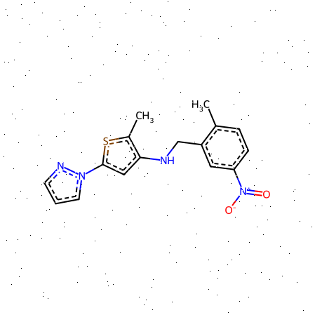 Cc1ccc([N+](=O)[O-])cc1CNc1cc(-n2cccn2)sc1C